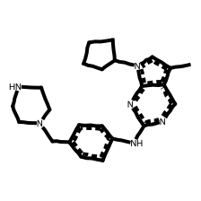 Cc1cn(C2CCCC2)c2nc(Nc3ccc(CN4CCNCC4)cc3)ncc12